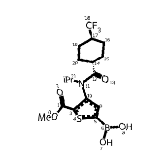 COC(=O)c1sc(B(O)O)cc1N(C(=O)[C@H]1CC[C@H](C(F)(F)F)CC1)C(C)C